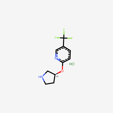 Cl.FC(F)(F)c1ccc(O[C@H]2CCNC2)nc1